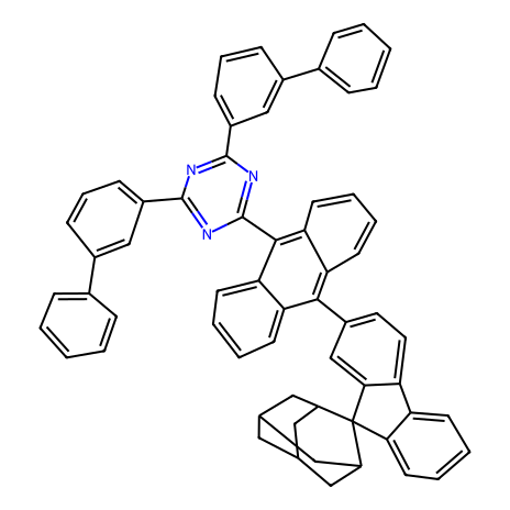 c1ccc(-c2cccc(-c3nc(-c4cccc(-c5ccccc5)c4)nc(-c4c5ccccc5c(-c5ccc6c(c5)C5(c7ccccc7-6)C6CC7CC(C6)CC5C7)c5ccccc45)n3)c2)cc1